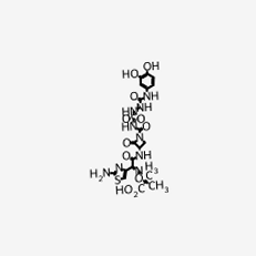 CC(C)(ON=C(C(=O)N[C@H]1CN(C(=O)NS(=O)(=O)NNC(=O)Nc2ccc(O)c(O)c2)C1=O)c1csc(N)n1)C(=O)O